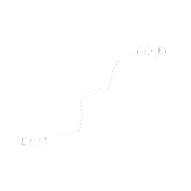 CCOC(=O)C(C)/C=C/C(C)C(=O)OCC